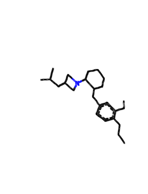 CCCc1ccc(CC2CCCCC2N2CC(CC(C)C)C2)cc1CC